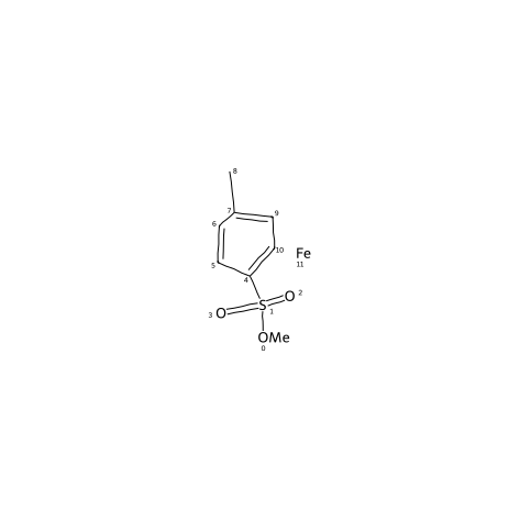 COS(=O)(=O)c1ccc(C)cc1.[Fe]